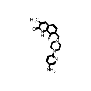 Cc1cc2ccc(CN3CCN(c4ccc(N)cn4)CC3)c(F)c2[nH]c1=O